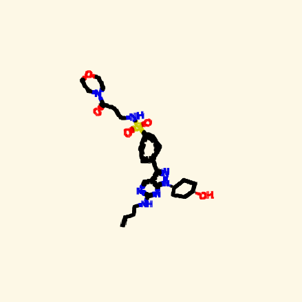 CCCCNc1ncc2c(-c3ccc(S(=O)(=O)NCCC(=O)N4CCOCC4)cc3)nn([C@H]3CC[C@@H](O)CC3)c2n1